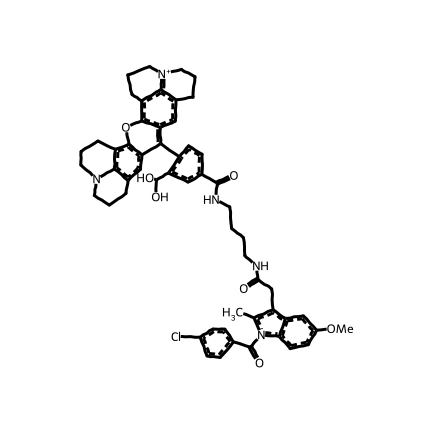 COc1ccc2c(c1)c(CC(=O)NCCCCNC(=O)c1ccc(C3=c4cc5c6c(c4Oc4c3cc3c7c4CCCN7CCC3)CCC[N+]=6CCC5)c(C(O)O)c1)c(C)n2C(=O)c1ccc(Cl)cc1